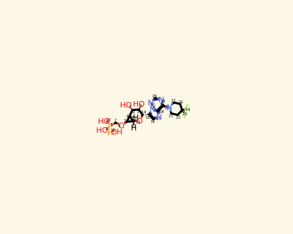 O[C@@H]1[C@H](O)[C@@H]2C(OC[PH](O)(O)O)[C@H]2O[C@H]1c1cnc2c(N3CCC(F)(F)CC3)ncnn12